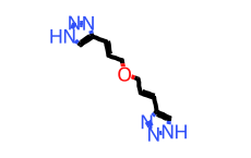 C(=Cc1c[nH]nn1)COCC=Cc1c[nH]nn1